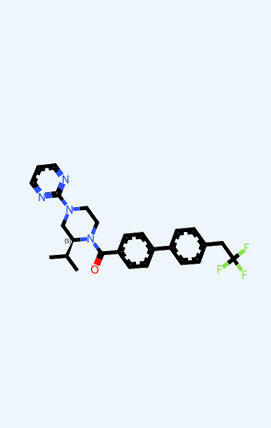 CC(C)[C@H]1CN(c2ncccn2)CCN1C(=O)c1ccc(-c2ccc(CC(F)(F)F)cc2)cc1